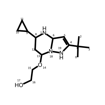 CC(C)(C)C1=CC2NC(C3CC3)CC(OCCO)N2N1